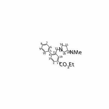 CCOC(=O)c1ccc(-c2ccccc2)c(CN2CCC(NC)C2)c1